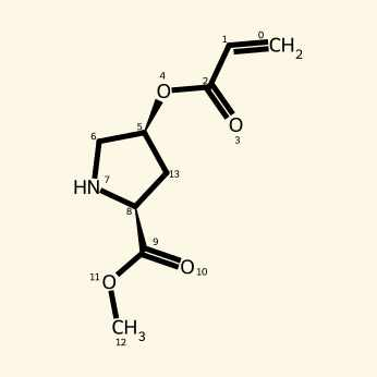 C=CC(=O)O[C@@H]1CN[C@H](C(=O)OC)C1